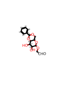 O=CCOC1OC2COC(c3ccccc3)OC2C(O)C1O